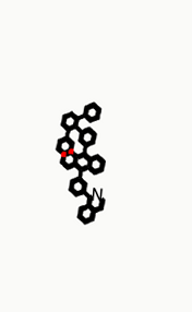 c1ccc(-c2cccc(-c3ccccc3)c2-c2cccc(-c3c4ccccc4c(-c4cccc(-c5nccc6ccccc56)c4)c4ccccc34)c2)cc1